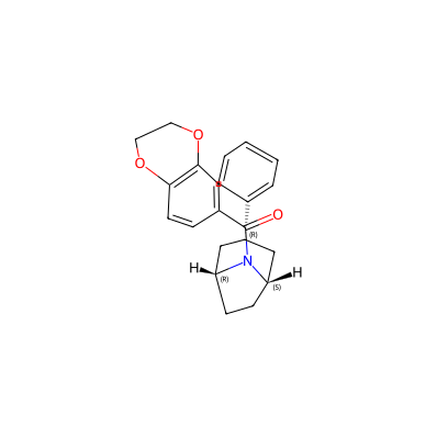 O=C(c1ccc2c(c1)OCCO2)N1[C@@H]2CC[C@H]1C[C@@H](c1ccccc1)C2